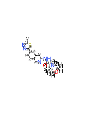 [2H]C1([2H])OC([2H])([2H])C([2H])([2H])N(CC(=O)Nc2cc3cc(-c4nnc(C)s4)ccc3cn2)C1([2H])[2H]